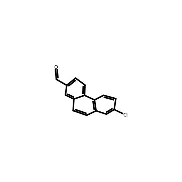 O=Cc1ccc2c(ccc3cc(Cl)ccc32)c1